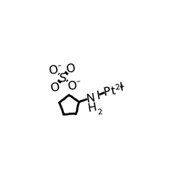 NC1CCCC1.O=S(=O)([O-])[O-].[I][Pt+2][I]